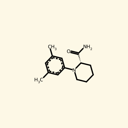 Cc1cc(C)cc(N2CCCC[C@H]2C(N)=O)c1